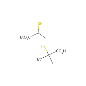 CCC(C)(S)C(=O)O.CCOC(=O)C(C)S